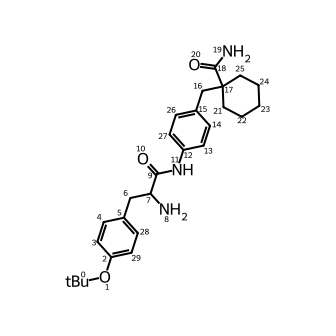 CC(C)(C)Oc1ccc(CC(N)C(=O)Nc2ccc(CC3(C(N)=O)CCCCC3)cc2)cc1